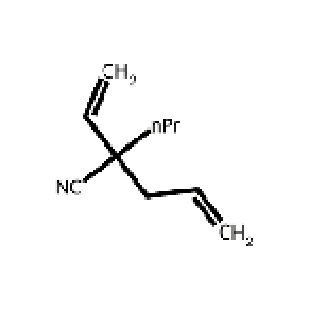 C=CCC(C#N)(C=C)CCC